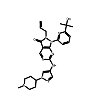 C=CCn1c(=O)c2cnc(Nc3cnn(C4CCN(C)CC4)c3)nc2n1-c1cccc(C(C)(C)O)n1